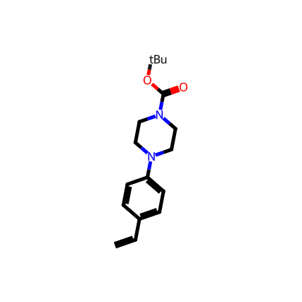 C=Cc1ccc(N2CCN(C(=O)OC(C)(C)C)CC2)cc1